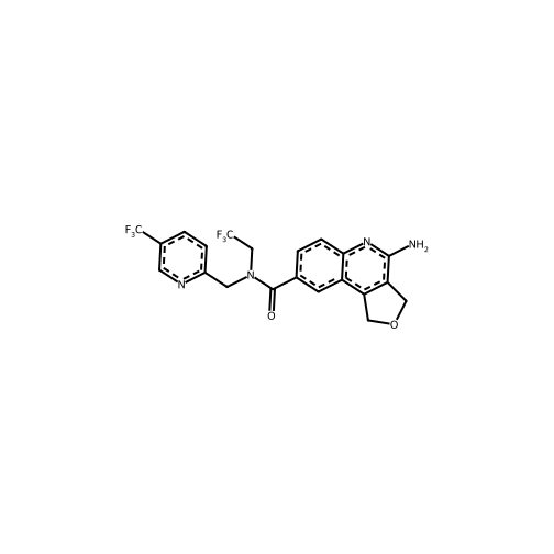 Nc1nc2ccc(C(=O)N(Cc3ccc(C(F)(F)F)cn3)CC(F)(F)F)cc2c2c1COC2